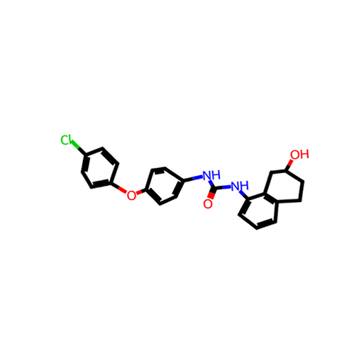 O=C(Nc1ccc(Oc2ccc(Cl)cc2)cc1)Nc1cccc2c1CC(O)CC2